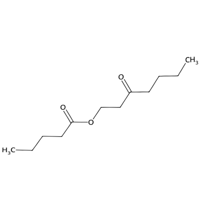 CCCCC(=O)CCOC(=O)CCCC